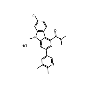 Cc1cc(-c2nc(C(=O)N(C)C)c3c4ccc(Cl)cc4n(C)c3n2)cnc1C.Cl